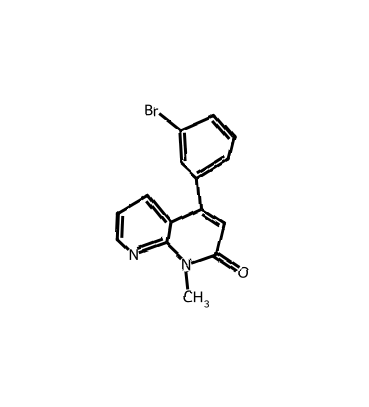 Cn1c(=O)cc(-c2cccc(Br)c2)c2cccnc21